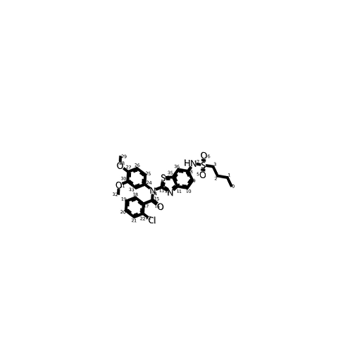 CCCCS(=O)(=O)Nc1ccc2nc(N(C(=O)c3ccccc3Cl)c3ccc(OC)c(OC)c3)sc2c1